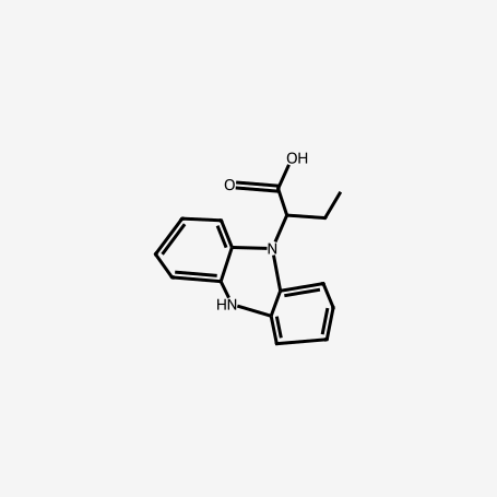 CCC(C(=O)O)N1c2ccccc2Nc2ccccc21